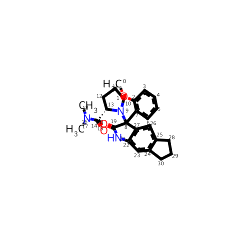 COc1ccccc1C1(N2CCC[C@H]2C(=O)N(C)C)C(=O)Nc2cc3c(cc21)CCC3